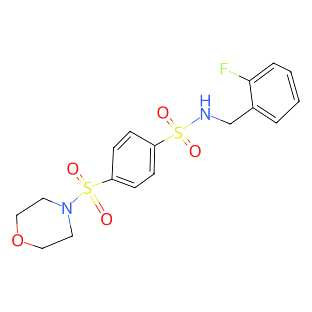 O=S(=O)(NCc1ccccc1F)c1ccc(S(=O)(=O)N2CCOCC2)cc1